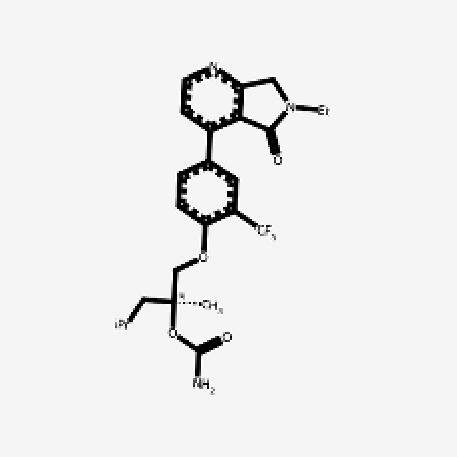 CCN1Cc2nccc(-c3ccc(OC[C@](C)(CC(C)C)OC(N)=O)c(C(F)(F)F)c3)c2C1=O